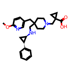 COc1ccc(CC2(CN[C@@H]3C[C@H]3c3ccccc3)CCN(CC3(C(=O)O)CC3)CC2)cn1